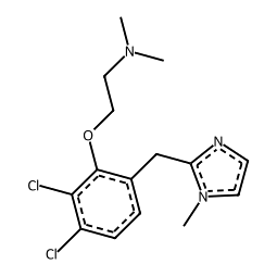 CN(C)CCOc1c(Cc2nccn2C)ccc(Cl)c1Cl